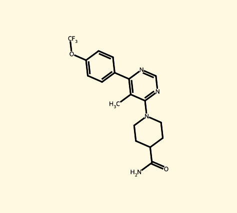 Cc1c(-c2ccc(OC(F)(F)F)cc2)ncnc1N1CCC(C(N)=O)CC1